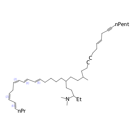 CCC/C=C/C=C\C\C=C/C=C/C=C/CCCCC(CCC(C)CCCCCCC=CCC#CCCCCC)CCC(CC)N(C)C